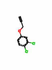 C#CCOc1[c]c(Cl)c(Cl)cc1